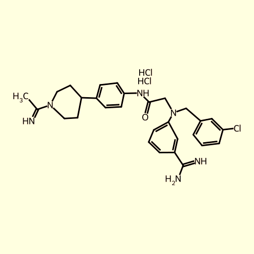 CC(=N)N1CCC(c2ccc(NC(=O)CN(Cc3cccc(Cl)c3)c3cccc(C(=N)N)c3)cc2)CC1.Cl.Cl